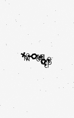 CC(C)(C)c1nnc(C2CCC(NS(=O)(=O)c3ccc(Cl)c([N+](=O)[O-])c3)CC2)o1